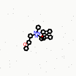 c1ccc(-c2nc(-c3cccc(-c4ccc5c(c4)oc4ccccc45)c3)nc(-c3ccccc3-c3cccc4c3C3(c5ccccc5-c5ccccc53)c3ccccc3-4)n2)cc1